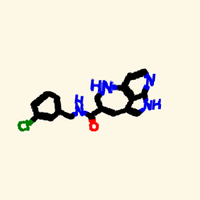 O=C(NCc1cccc(Cl)c1)C1=Cc2c[nH]c3nccc(c23)NC1